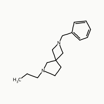 CCCN1CCC2(C1)CN(Cc1ccccc1)C2